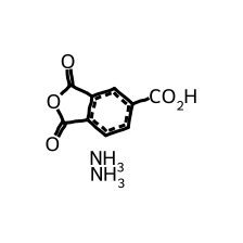 N.N.O=C(O)c1ccc2c(c1)C(=O)OC2=O